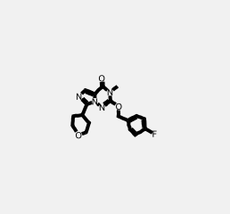 Cn1c(OCc2ccc(F)cc2)nn2c(C3CCOCC3)ncc2c1=O